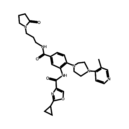 Cc1cnccc1N1CCN(c2ccc(C(=O)NCCCN3CCCC3=O)cc2NC(=O)c2coc(C3CC3)n2)CC1